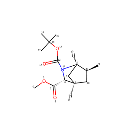 COC(=O)[C@H]1[C@H]2C[C@H]([C@@H](C)C2)N1C(=O)OC(C)(C)C